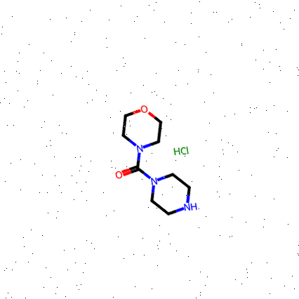 Cl.O=C(N1CCNCC1)N1CCOCC1